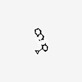 Fc1c(Oc2cc3ccccc3nn2)cccc1C1CC1